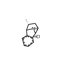 C[C@@H]1CCC2NC1c1ccccc12.Cl